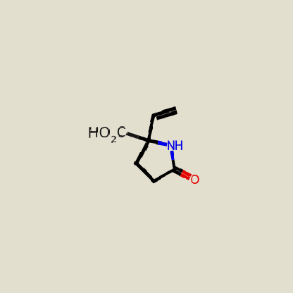 C=CC1(C(=O)O)CCC(=O)N1